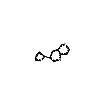 c1csc(-c2cnc3ccncc3c2)c1